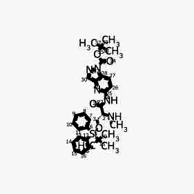 CN[C@H](CO[Si](c1ccccc1)(c1ccccc1)C(C)(C)C)C(=O)Nc1ccc2c(cnn2C(=O)OC(C)(C)C)n1